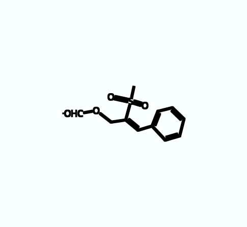 CS(=O)(=O)C(=Cc1ccccc1)CO[C]=O